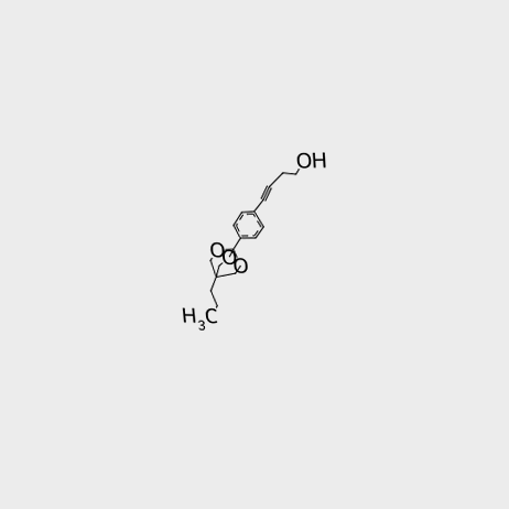 CCCC12COC(c3ccc(C#CCCO)cc3)(OC1)OC2